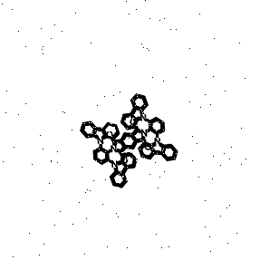 O=c1c2cc3c(=O)n(-c4c(-n5c6ccccc6c6ccccc65)cccc4-n4c5ccccc5c5ccccc54)c(=O)c3cc2c(=O)n1-c1c(-n2c3c(c4ccccc42)CCC=C3)cccc1-n1c2ccccc2c2ccccc21